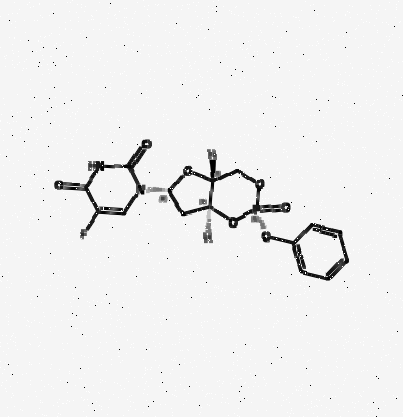 O=c1[nH]c(=O)n([C@H]2C[C@@H]3O[P@@](=O)(Oc4ccccc4)OC[C@H]3O2)cc1F